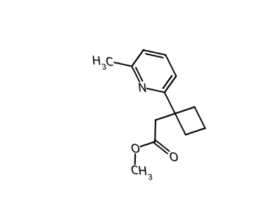 COC(=O)CC1(c2cccc(C)n2)CCC1